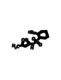 CCCCc1ccccc1S(=O)(=O)Nc1cc(C)on1